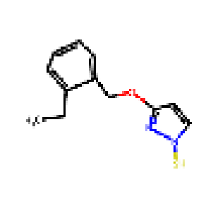 CCc1ccccc1COc1ccn(S)n1